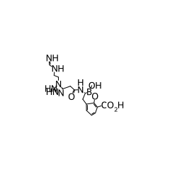 N=CNCCN1NNN=C1CC(=O)N[C@H]1Cc2cccc(C(=O)O)c2OB1O